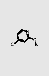 [CH2]Oc1cc(Cl)ccn1